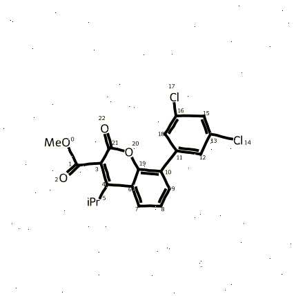 COC(=O)c1c(C(C)C)c2cccc(-c3cc(Cl)cc(Cl)c3)c2oc1=O